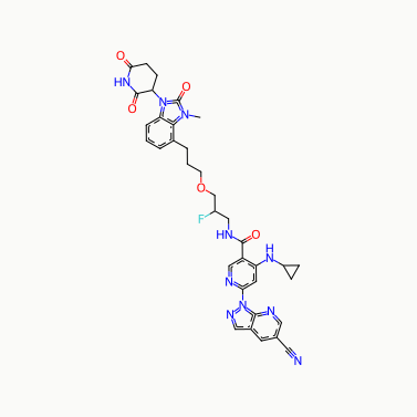 Cn1c(=O)n(C2CCC(=O)NC2=O)c2cccc(CCCOCC(F)CNC(=O)c3cnc(-n4ncc5cc(C#N)cnc54)cc3NC3CC3)c21